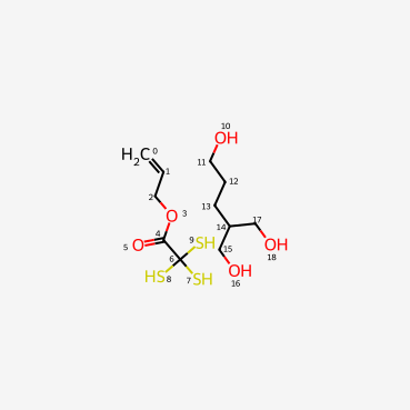 C=CCOC(=O)C(S)(S)S.OCCCC(CO)CO